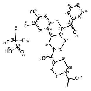 CC(=O)N1CCC(C(=O)N2CCC(N(C)C(=O)c3cccnc3)C(c3ccc(Cl)c(Cl)c3)C2)CC1.O=C(O)C(F)(F)F